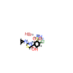 Br.CN1C(=NC2CC2)SCC1(O)c1ccc(Cl)c(S(N)(=O)=O)c1